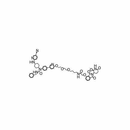 N#Cc1ccc(N[C@H]2CC[C@H](N(C(=O)NCc3ccccc3)c3ccc(-c4ccc(OCCOCCOCCCCNC(=O)COc5cccc6c5C(=O)N(C5CCC(=O)NC5=O)C6=O)nc4)cc3)CC2)nc1